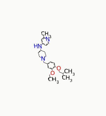 CCOc1cc(CN2CCC(Nc3ccnc(C)c3)CC2)ccc1OCC(C)C